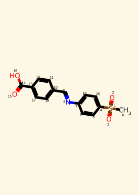 CS(=O)(=O)c1ccc(N=Cc2ccc(C(=O)O)cc2)cc1